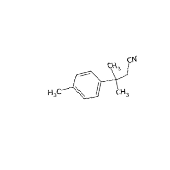 Cc1ccc(C(C)(C)CC#N)cc1